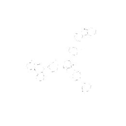 c1cncc(-c2ccc(-c3nc(-c4ccc(-c5ccc6sc7ccccc7c6c5)cc4)cc(-c4ccc(-c5cc6ccccc6c6ccccc56)cc4)n3)cc2)c1